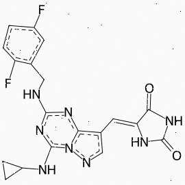 O=C1NC(=O)/C(=C/c2cnn3c(NC4CC4)nc(NCc4cc(F)ccc4F)nc23)N1